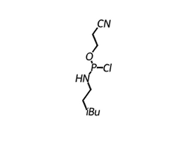 CCC(C)CCNP(Cl)OCCC#N